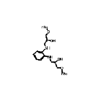 CCCCOCC(O)CNc1ccccc1NCC(O)COCCCC